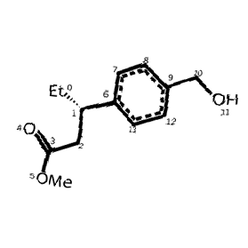 CC[C@@H](CC(=O)OC)c1ccc(CO)cc1